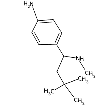 CNC(CC(C)(C)C)c1ccc(N)cc1